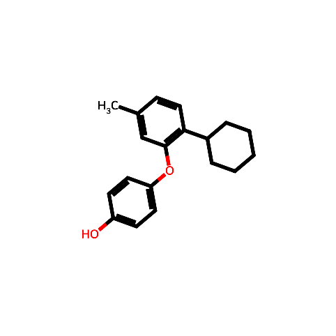 Cc1ccc(C2CCCCC2)c(Oc2ccc(O)cc2)c1